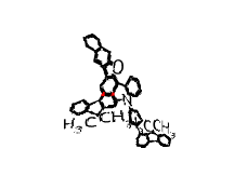 CC1(C)c2ccccc2-c2ccc(N(c3ccc(-c4cccc5c4C(C)(C)c4ccccc4-5)cc3)c3ccccc3-c3cccc4c3oc3cc5ccccc5cc34)cc21